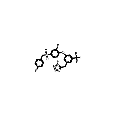 O=S(=O)(Cc1ccc(F)cc1)c1ccc(Oc2cc(Cc3nnn[nH]3)cc(C(F)(F)F)c2)c(F)c1